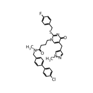 CN(Cc1ccc(-c2ccc(Cl)cc2)cc1)C(=O)CCCn1cc(Cc2cnn(C)c2)c(=O)nc1SCc1ccc(F)cc1